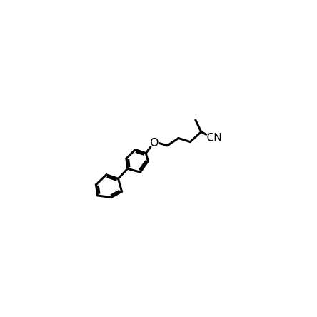 CC(C#N)CCCOc1ccc(-c2ccccc2)cc1